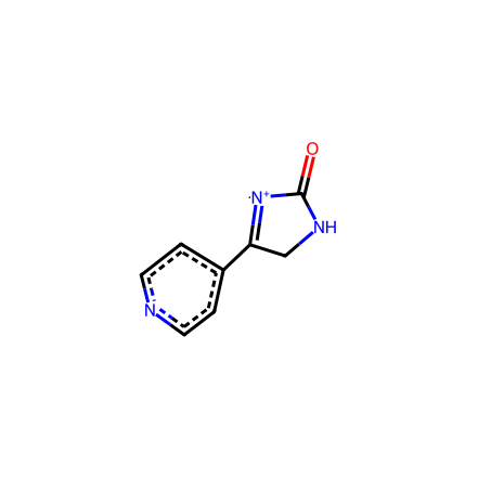 O=C1[N+]=C(c2ccncc2)CN1